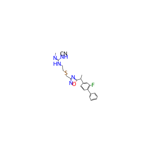 C/N=C(\NC#N)NCCSCc1noc(C(C)c2ccc(-c3ccccc3)c(F)c2)n1